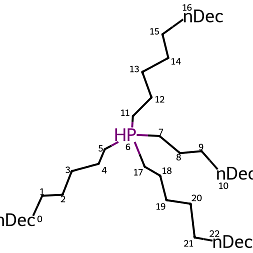 CCCCCCCCCCCCCCC[PH](CCCCCCCCCCCCC)(CCCCCCCCCCCCCCC)CCCCCCCCCCCCCCC